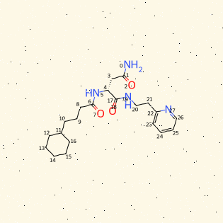 NC(=O)C[C@@H](NC(=O)CCCC1CCCCC1)C(=O)NCCc1ccccn1